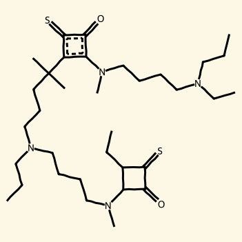 CCCN(CC)CCCCN(C)c1c(C(C)(C)CCCN(CCC)CCCCN(C)C2C(=O)C(=S)C2CC)c(=S)c1=O